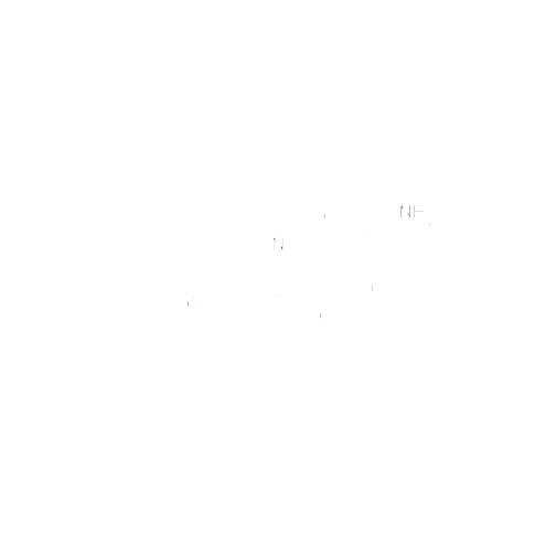 Cc1ccc(N(OC(N)=O)C(=O)c2ccco2)cc1